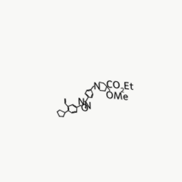 C=Cc1cc(-c2nc(-c3ccc(CN4CCC(COC)(C(=O)OCC)CC4)cc3)no2)ccc1C1CCCC1